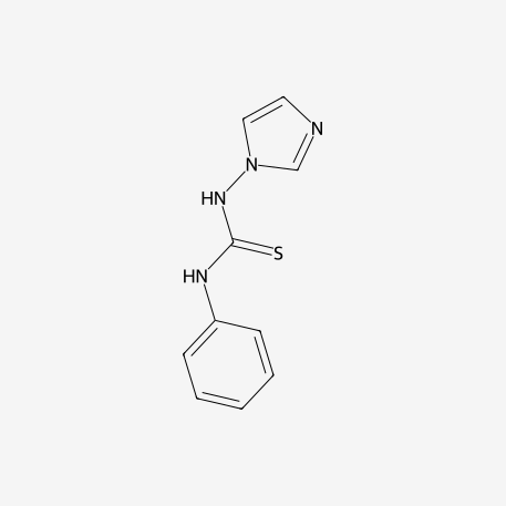 S=C(Nc1ccccc1)Nn1ccnc1